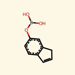 OB(O)Oc1ccc2c(c1)CC=C2